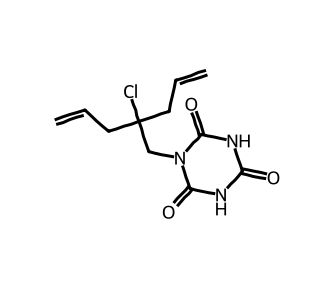 C=CCC(Cl)(CC=C)Cn1c(=O)[nH]c(=O)[nH]c1=O